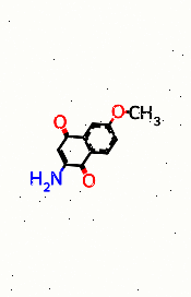 COc1ccc2c(c1)C(=O)C=C(N)C2=O